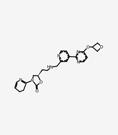 O=C1O[C@H](CCNCc2cc(-c3nccc(OC4COC4)n3)ccn2)CN1C1=NC=CCC1